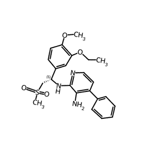 CCOc1cc([C@@H](CS(C)(=O)=O)Nc2nccc(-c3ccccc3)c2N)ccc1OC